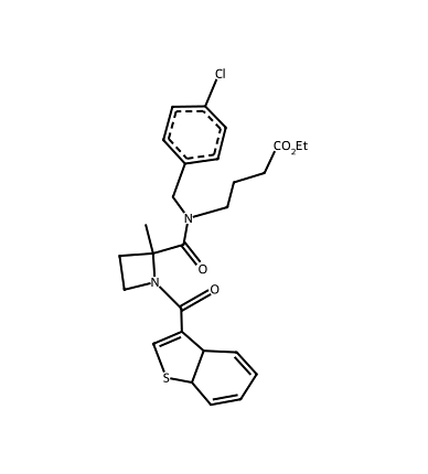 CCOC(=O)CCCN(Cc1ccc(Cl)cc1)C(=O)C1(C)CCN1C(=O)C1=CSC2C=CC=CC12